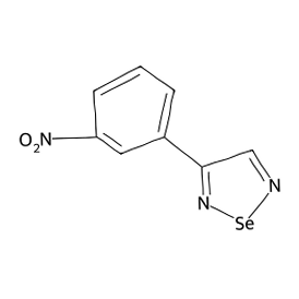 O=[N+]([O-])c1cccc(-c2cn[se]n2)c1